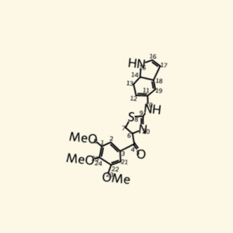 COc1cc(C(=O)C2CSC(NC3=CCC4NC=CC4=C3)=N2)cc(OC)c1OC